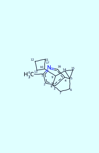 Cc1ccc(C23CCCC(C4CCC4)C2C3)cn1